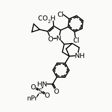 CCCS(=O)(=O)NC(=O)c1ccc(C23CC(CN2)C(N2OC(C4CC4)=C(C(=O)O)C2c2c(Cl)cccc2Cl)C3)cc1